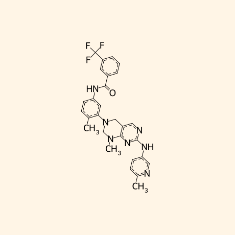 Cc1ccc(Nc2ncc3c(n2)N(C)CN(c2cc(NC(=O)c4cccc(C(F)(F)F)c4)ccc2C)C3)cn1